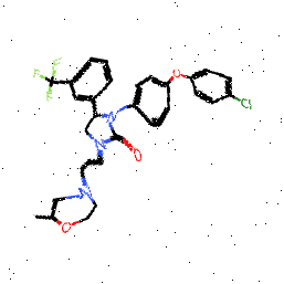 CC1CN(CCN2CC(c3cccc(C(F)(F)F)c3)N(c3ccc(Oc4ccc(Cl)cc4)cc3)C2=O)CCO1